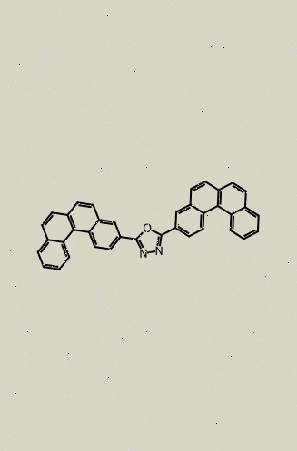 c1ccc2c(c1)ccc1ccc3cc(-c4nnc(-c5ccc6c(ccc7ccc8ccccc8c76)c5)o4)ccc3c12